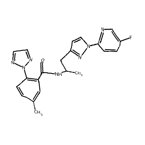 Cc1ccc(-n2nccn2)c(C(=O)NC(C)Cc2ccn(-c3ccc(F)cn3)n2)c1